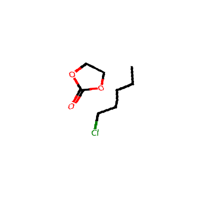 CCCCCCl.O=C1OCCO1